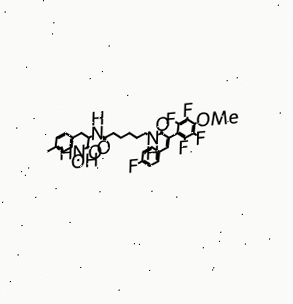 COc1c(F)c(F)c(/C(=C/c2ccc(F)cc2)C(=O)NCCCCCC(=O)NC(Cc2ccc(C)cc2)C(=O)NO)c(F)c1F